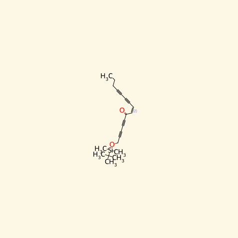 CCCC#CC#C/C=C\C(=O)C#CC#CCO[Si](C)(C)C(C)(C)C